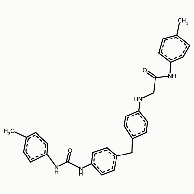 Cc1ccc(NC(=O)CNc2ccc(Cc3ccc(NC(=O)Nc4ccc(C)cc4)cc3)cc2)cc1